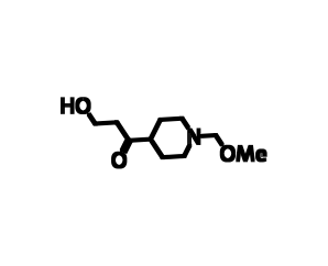 COCN1CCC(C(=O)CCO)CC1